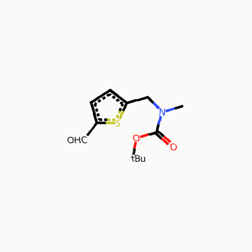 CN(Cc1ccc(C=O)s1)C(=O)OC(C)(C)C